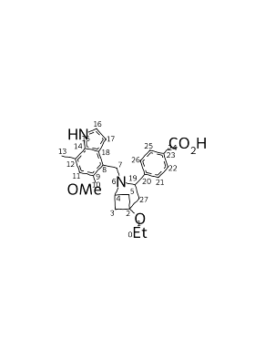 CCOC12CC(C1)N(Cc1c(OC)cc(C)c3[nH]ccc13)C(c1ccc(C(=O)O)cc1)C2